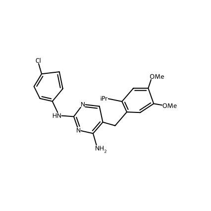 COc1cc(Cc2cnc(Nc3ccc(Cl)cc3)nc2N)c(C(C)C)cc1OC